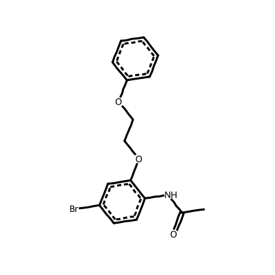 CC(=O)Nc1ccc(Br)cc1OCCOc1ccccc1